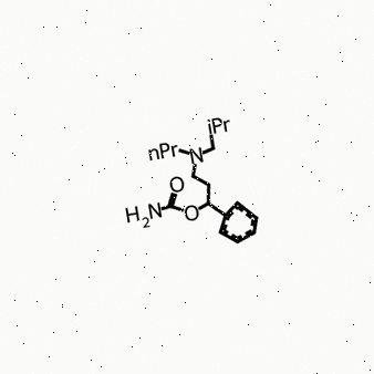 CCCN(CCC(OC(N)=O)c1ccccc1)CC(C)C